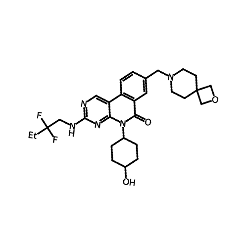 CCC(F)(F)CNc1ncc2c3ccc(CN4CCC5(CC4)COC5)cc3c(=O)n(C3CCC(O)CC3)c2n1